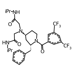 CC(C)NC(=O)CN(CC(=O)NC(C)C)[C@H]1CCN(C(=O)c2cc(C(F)(F)F)cc(C(F)(F)F)c2)[C@H](Cc2ccccc2)C1